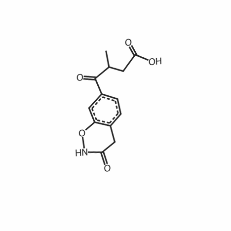 CC(CC(=O)O)C(=O)c1ccc2c(c1)ONC(=O)C2